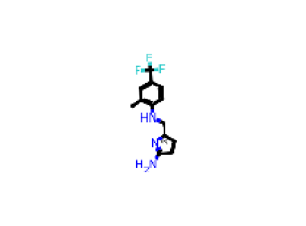 Cc1cc(C(F)(F)F)ccc1NC[C@H]1CCC(N)=N1